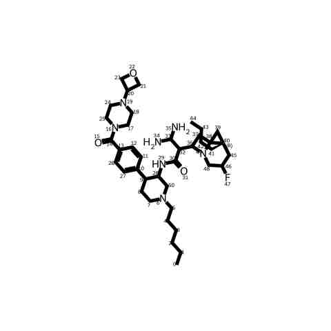 CCCCCCN1CCC(c2ccc(C(=O)N3CCN(C4COC4)CC3)cc2)C(NC(=O)C(C(N)N)C2CC34C[C@]3(CCCC)CC(F)CN24)C1